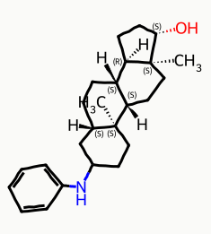 C[C@]12CC[C@H]3[C@H](CC[C@H]4CC(Nc5ccccc5)CC[C@@]43C)[C@H]1CC[C@@H]2O